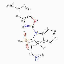 COc1ccc2oc(N3c4ccccc4C4(CCNCC4)C3S(C)(=O)=O)nc2c1